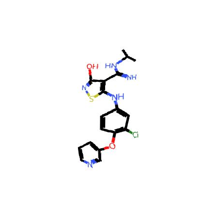 CC(C)NC(=N)c1c(O)nsc1Nc1ccc(Oc2cccnc2)c(Cl)c1